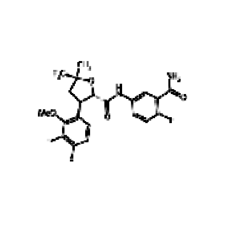 COc1c([C@H]2C[C@@](C)(C(F)(F)F)O[C@@H]2C(=O)Nc2ccc(F)c(C(N)=O)c2)ccc(F)c1F